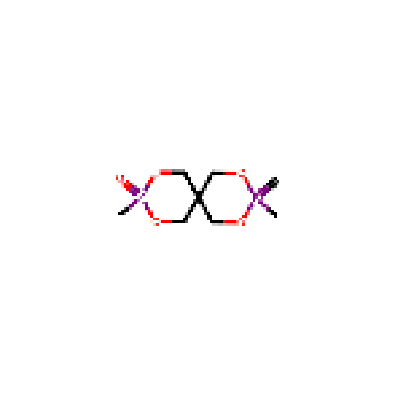 C=P1(C)OCC2(CO1)COP(C)(=O)OC2